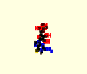 Cn1c(N)nc2c(ncn2[C@@H]2O[C@H](COP(=O)(O)O)C(O)C2O)c1=S